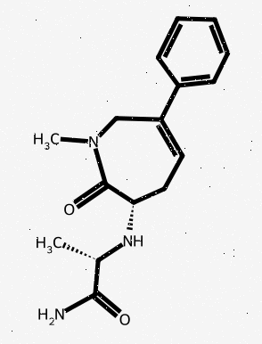 C[C@H](N[C@H]1CC=C(c2ccccc2)CN(C)C1=O)C(N)=O